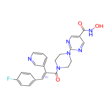 O=C(NO)c1cnc(N2CCN(C(=O)/C(=C/c3ccc(F)cc3)c3cccnc3)CC2)nc1